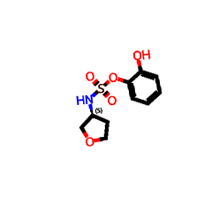 O=S(=O)(N[C@H]1CCOC1)Oc1ccccc1O